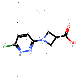 O=C(O)C1CN(c2ccc(Cl)nn2)C1